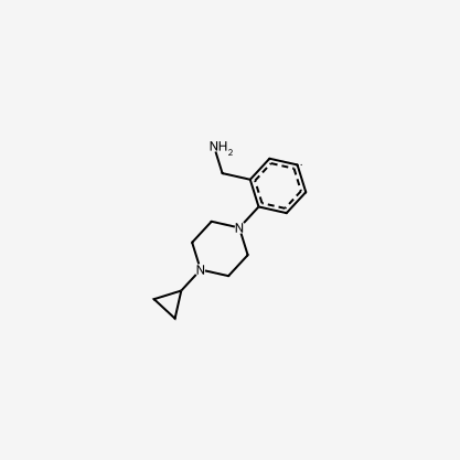 NCc1c[c]ccc1N1CCN(C2CC2)CC1